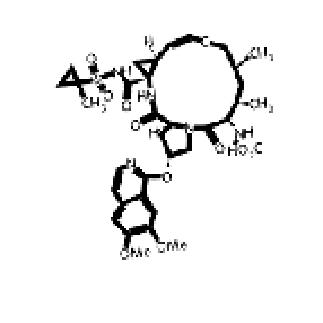 COc1cc2ccnc(O[C@@H]3C[C@H]4C(=O)N[C@]5(C(=O)NS(=O)(=O)C6(C)CC6)C[C@H]5/C=C\CC[C@@H](C)C[C@@H](C)[C@H](NC(=O)O)C(=O)N4C3)c2cc1OC